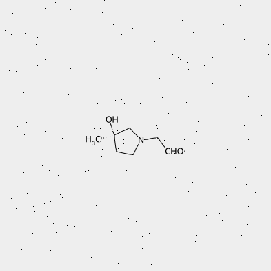 C[C@@]1(O)CCN(C[C]=O)C1